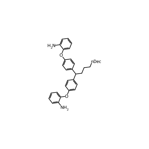 CCCCCCCCCCCCCC(c1ccc(Oc2ccccc2N)cc1)c1ccc(Oc2ccccc2N)cc1